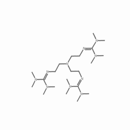 CN(C)C(=NCCN(CCN=C(N(C)C)N(C)C)CCN=C(N(C)C)N(C)C)N(C)C